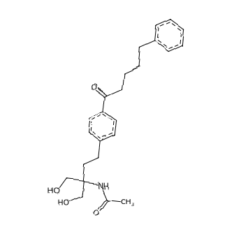 CC(=O)NC(CO)(CO)CCc1ccc(C(=O)CCCCc2ccccc2)cc1